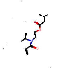 C=CC(=O)N(CCOC(=O)CC(C)C)C(C)C